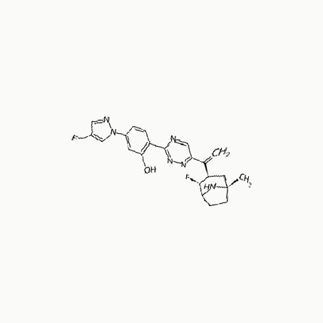 C=C(c1cnc(-c2ccc(-n3cc(F)cn3)cc2O)nn1)[C@H]1C[C@]2(C)CCC(N2)[C@H]1F